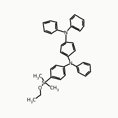 CCO[Si](C)(C)c1ccc(N(c2ccccc2)c2ccc(N(c3ccccc3)c3ccccc3)cc2)cc1